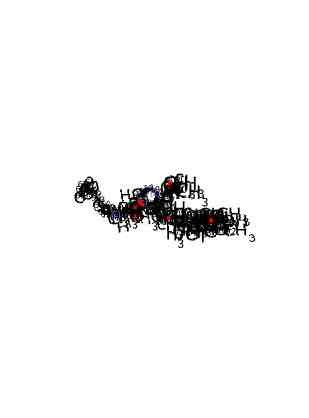 CCN(C(C)=O)C1COC(OC2C(O[C@H]3C#C/C=C\C#C[C@]4(O)CC(=O)C(NC(=O)OC)=C3/C4=C\CSSC(C)(C)CC(=O)N/N=C(\C)c3ccc(OCCCC(=O)ON4C(=O)CCC4=O)cc3)O[C@H](C)C(NOC3CC(O)C(SC(=O)c4c(C)c(I)c(OC5OC(C)C(O)C(OC)C5O)c(OC)c4OC)C(C)O3)C2O)CC1OC